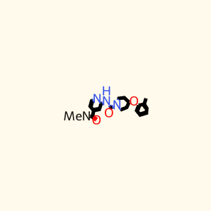 CNC(=O)c1ccnc(NC(=O)N2CCC(Oc3ccccc3C)CC2)c1